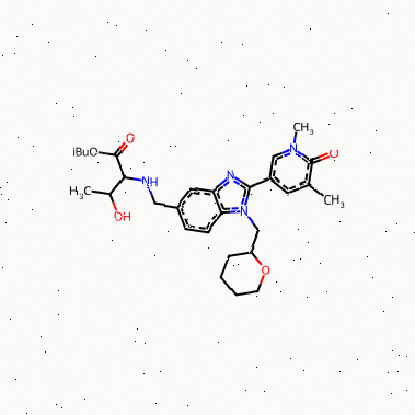 Cc1cc(-c2nc3cc(CNC(C(=O)OCC(C)C)C(C)O)ccc3n2CC2CCCCO2)cn(C)c1=O